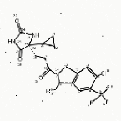 CC1c2cc(C(F)(F)F)c(Cl)cc2CN1C(=O)CC[C@@]1(C2CC2)NC(=O)NC1=O